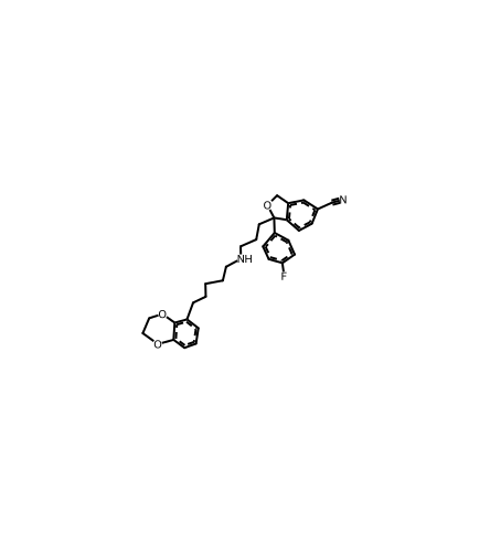 N#Cc1ccc2c(c1)COC2(CCCNCCCCCc1cccc2c1OCCO2)c1ccc(F)cc1